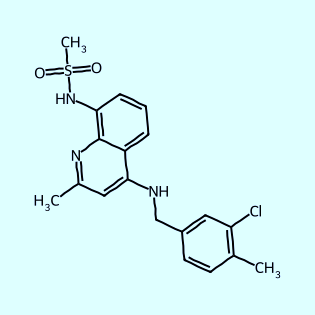 Cc1cc(NCc2ccc(C)c(Cl)c2)c2cccc(NS(C)(=O)=O)c2n1